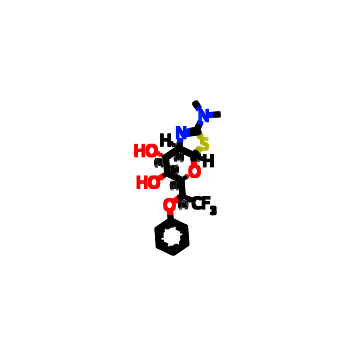 CN(C)C1=N[C@@H]2[C@@H](O)[C@H](O)[C@@H]([C@H](Oc3ccccc3)C(F)(F)F)O[C@@H]2S1